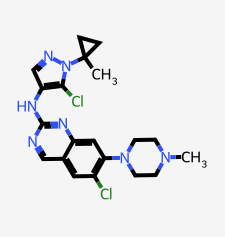 CN1CCN(c2cc3nc(Nc4cnn(C5(C)CC5)c4Cl)ncc3cc2Cl)CC1